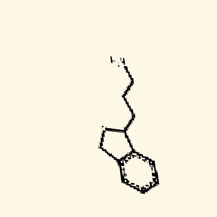 NCCCC1OCc2ccccc21